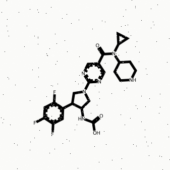 O=C(O)NC1CN(c2ncc(C(=O)N(C3CCNCC3)C3CC3)cn2)CC1c1cc(F)c(F)cc1F